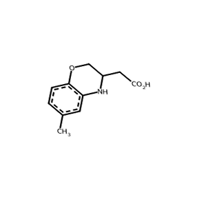 Cc1ccc2c(c1)NC(CC(=O)O)CO2